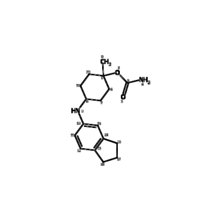 CC1(OC(N)=O)CCC(Nc2ccc3c(c2)CCC3)CC1